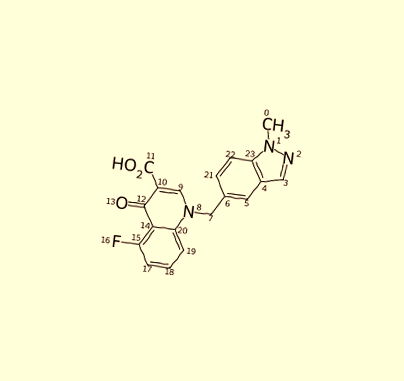 Cn1ncc2cc(Cn3cc(C(=O)O)c(=O)c4c(F)cccc43)ccc21